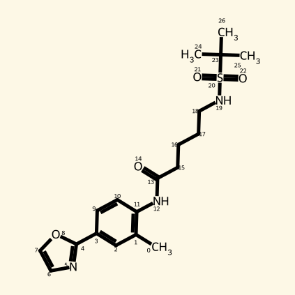 Cc1cc(-c2ncco2)ccc1NC(=O)CCCCNS(=O)(=O)C(C)(C)C